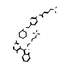 CCc1cnc(N[C@@H]2CCC[C@](C)(NCc3ccc(NC(=O)/C=C/CN(C)C)cn3)C2)nc1-c1c2ccccc2nn1COCC[Si](C)(C)C